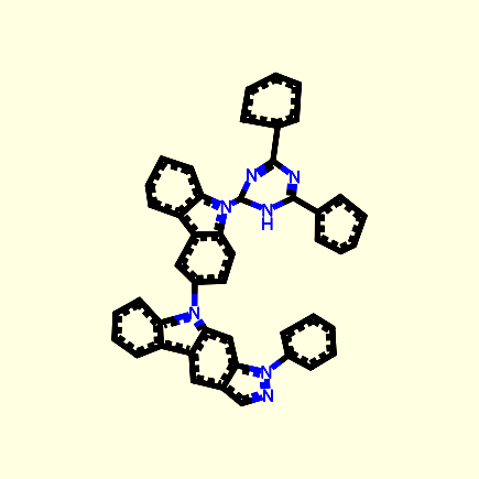 c1ccc(C2=NC(n3c4ccccc4c4cc(-n5c6ccccc6c6cc7cnn(-c8ccccc8)c7cc65)ccc43)NC(c3ccccc3)=N2)cc1